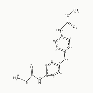 COC(=O)Nc1ccc(Sc2ccc(NC(=O)CN)cc2)cc1